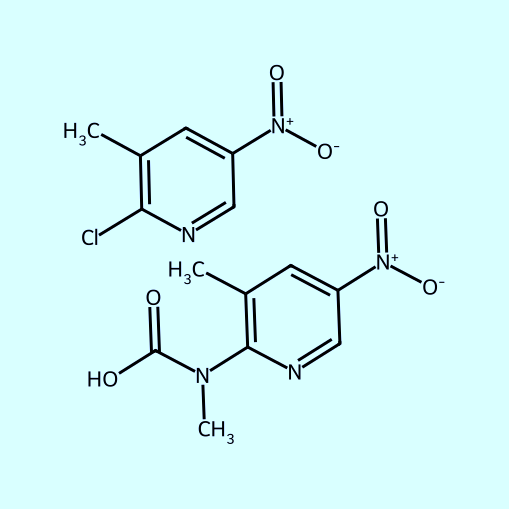 Cc1cc([N+](=O)[O-])cnc1Cl.Cc1cc([N+](=O)[O-])cnc1N(C)C(=O)O